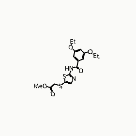 CCOc1cc(OCC)cc(C(=O)Nc2ncc(SCC(=O)OC)s2)c1